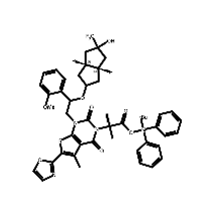 COc1ccccc1C(Cn1c(=O)n(C(C)(C)C(=O)O[Si](c2ccccc2)(c2ccccc2)C(C)(C)C)c(=O)c2c(C)c(-c3ncco3)sc21)OC1C[C@@H]2CC(O)(C(F)(F)F)C[C@@H]2C1